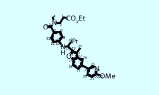 CCOC(=O)CCN(C)C(=O)c1ccc(NC(c2oc3ccc(-c4ccc(OC)nc4)cc3c2C)C(C)C)cc1